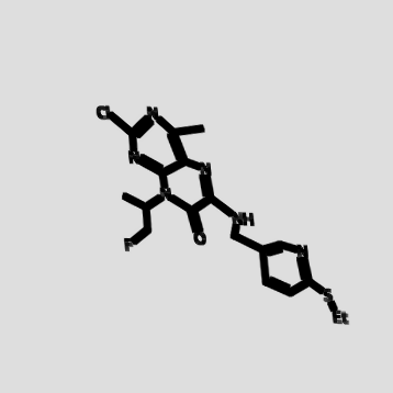 CCSc1ccc(CNc2nc3c(C)nc(Cl)nc3n(C(C)CF)c2=O)cn1